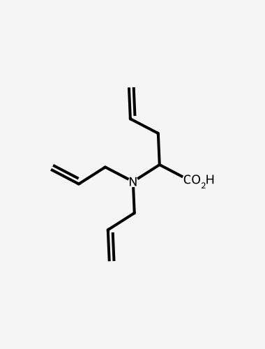 C=CCC(C(=O)O)N(CC=C)CC=C